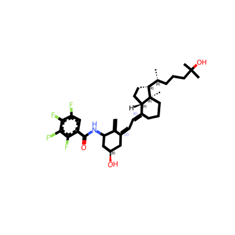 C=C1/C(=C\C=C2/CCC[C@]3(C)[C@@H]([C@H](C)CCCC(C)(C)O)CC[C@@H]23)C[C@@H](O)CC1NC(=O)c1cc(F)c(F)c(F)c1F